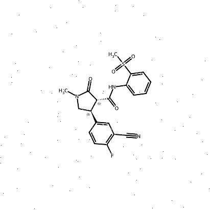 CN1C[C@H](c2ccc(F)c(C#N)c2)[C@@H](C(=O)Nc2ccccc2S(C)(=O)=O)C1=O